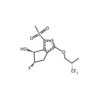 C[C@@H](COc1sc(S(C)(=O)=O)c2c1C[C@@H](F)[C@H]2O)C(F)(F)F